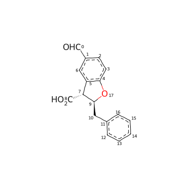 O=Cc1ccc2c(c1)[C@@H](C(=O)O)[C@H](Cc1ccccc1)O2